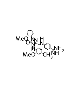 COc1ccccc1-n1nc(C(Nc2ccc(C(=N)N)cc2)c2cc(C)cc(OC)c2F)[nH]c1=O